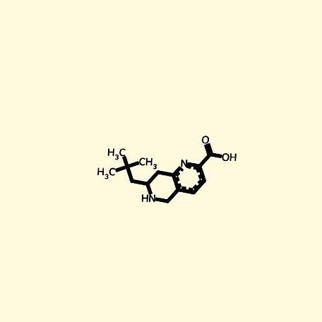 CC(C)(C)CC1Cc2nc(C(=O)O)ccc2CN1